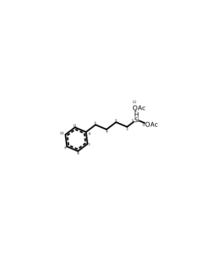 CC(=O)O[SiH](CCCCc1ccccc1)OC(C)=O